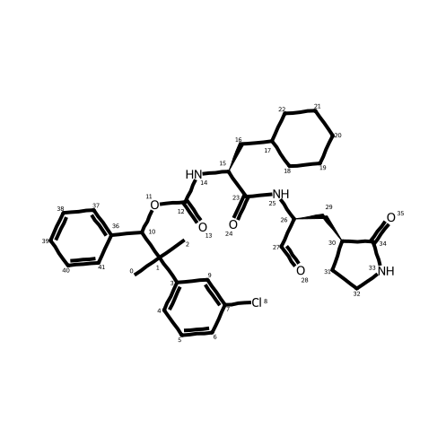 CC(C)(c1cccc(Cl)c1)C(OC(=O)N[C@@H](CC1CCCCC1)C(=O)N[C@H](C=O)C[C@@H]1CCNC1=O)c1ccccc1